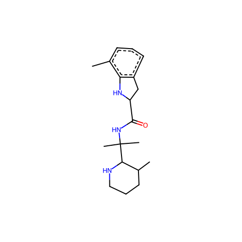 Cc1cccc2c1NC(C(=O)NC(C)(C)C1NCCCC1C)C2